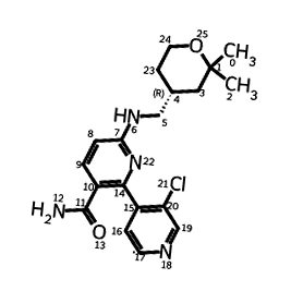 CC1(C)C[C@H](CNc2ccc(C(N)=O)c(-c3c[c]ncc3Cl)n2)CCO1